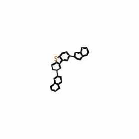 C1=c2sc3ccc(-c4ccc5ccccc5c4)cc3c2=CC(c2ccc3ccccc3c2)C1